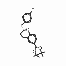 CC1(C)OB(c2ccc3c(c2)CC[C@H](Cc2ccc(F)cc2)O3)OC1(C)C